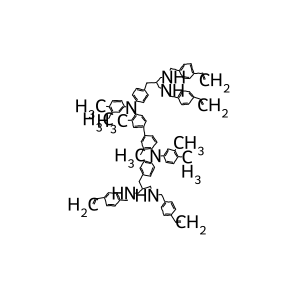 C=Cc1ccc(CNCC(CNCc2ccc(C=C)cc2)Cc2ccc(N(c3ccc(C)c(C)c3)c3ccc(-c4ccc(N(c5ccc(CC(CNCc6ccc(C=C)cc6)CNCc6ccc(C=C)cc6)cc5)c5ccc(C)c(C)c5)c(C)c4)cc3C)cc2)cc1